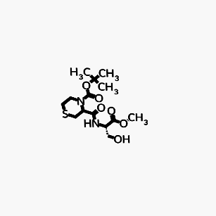 COC(=O)[C@H](CO)NC(=O)C1CSCCN1C(=O)OC(C)(C)C